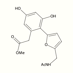 COC(=O)Cc1cc(O)cc(O)c1-c1ccc(CNC(C)=O)o1